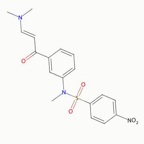 CN(C)C=CC(=O)c1cccc(N(C)S(=O)(=O)c2ccc([N+](=O)[O-])cc2)c1